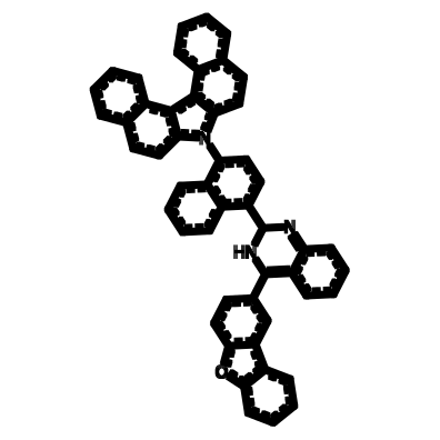 c1ccc2c(c1)=NC(c1ccc(-n3c4ccc5ccccc5c4c4c5ccccc5ccc43)c3ccccc13)NC=2c1ccc2oc3ccccc3c2c1